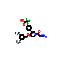 NCC(=O)N1CC[C@@H](OCc2cc(C(F)(F)F)cc(C(F)(F)F)c2)[C@@H](c2ccccc2)C1.O=C(O)C(F)(F)F